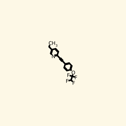 CCc1ccc(C#Cc2ccc(OC(F)(F)C(F)F)cc2)nc1